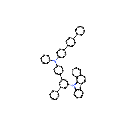 c1ccc(-c2ccc(-c3ccc(N(c4ccccc4)c4ccc(-c5cc(-c6ccccc6)cc(-n6c7ccccc7c7ccc8ccccc8c76)c5)cc4)cc3)cc2)cc1